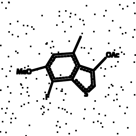 COc1cc(C)c2c(OC(C)=O)csc2c1F